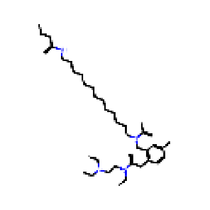 C=C(CCC)NCCCCCCCCCCCCCN(Cc1cc(C)ccc1CC(=C)N(CC)CCN(CC)CC)C(=C)C